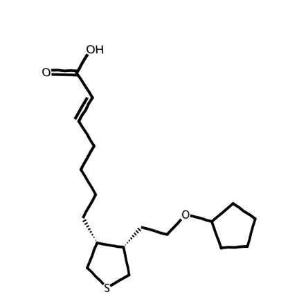 O=C(O)C=CCCCC[C@H]1CSC[C@H]1CCOC1CCCC1